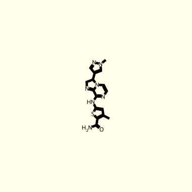 Cc1cc(NC2=NC=CN3C2=NCC3c2cnn(C)c2)sc1C(N)=O